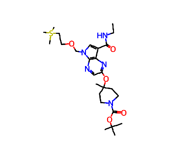 CCNC(=O)c1cn(COCCS(C)(C)C)c2ncc(OC3(C)CCN(C(=O)OC(C)(C)C)CC3)nc12